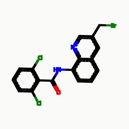 O=C(Nc1cccc2cc(CBr)cnc12)c1c(Cl)cccc1Cl